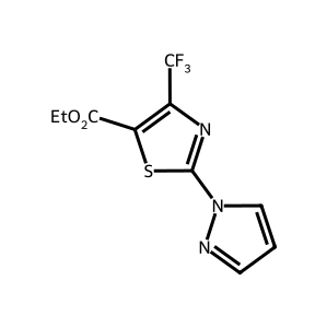 CCOC(=O)c1sc(-n2cccn2)nc1C(F)(F)F